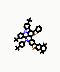 CC(C)(C)c1ccc(N2B3c4cc(C(C)(C)C)ccc4-n4c5ccc(C(C)(C)C)cc5c5c6c(sc7ccccc76)c(c3c54)-c3cc4c(cc32)sc2cc3c(cc24)C(C)(C)CCC3(C)C)cc1